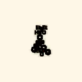 CCN(CC)C(=O)Nc1ccc(S(=O)(=O)N2C(=O)C(NC(=O)Oc3ccccc3)(c3ccccc3Cl)c3cc(Cl)ccc32)cc1